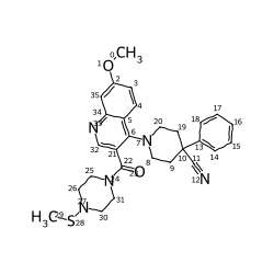 COc1ccc2c(N3CCC(C#N)(c4ccccc4)CC3)c(C(=O)N3CCN(SC)CC3)cnc2c1